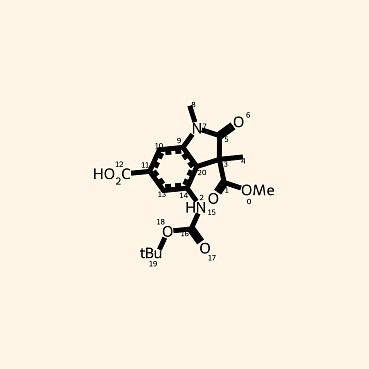 COC(=O)C1(C)C(=O)N(C)c2cc(C(=O)O)cc(NC(=O)OC(C)(C)C)c21